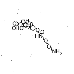 CC12CCC(OCC(=O)NCCOCCOCCN)CC1CC[C@H]1C2CC(O)[C@]2(C)C(C3=CC(=O)OC3)CCC12O